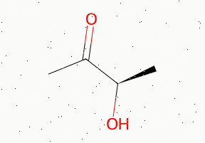 CC(=O)[C@@H](C)O